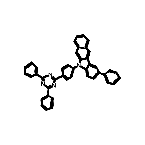 c1ccc(-c2ccc3c(c2)c2cc4ccccc4cc2n3-c2ccc(-c3nc(-c4ccccc4)nc(-c4ccccc4)n3)cc2)cc1